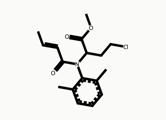 CC=CC(=O)N(c1c(C)cccc1C)C(CCCl)C(=O)OC